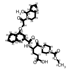 CCOC(=O)N1CCN(C(=O)C(CCC(=O)O)NC(=O)c2cc(OCC(=O)N3CCc4sccc4C3C)c3ccccc3n2)CC1